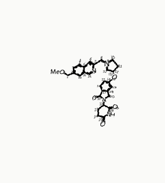 COCc1ccc2cc(CN3CC[C@H](Oc4ccc5c(c4)CN(C4CCC(=O)NC4=O)C5=O)C3)ncc2c1